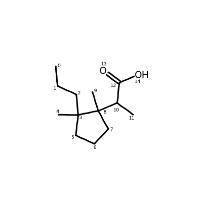 CCCC1(C)CCCC1(C)C(C)C(=O)O